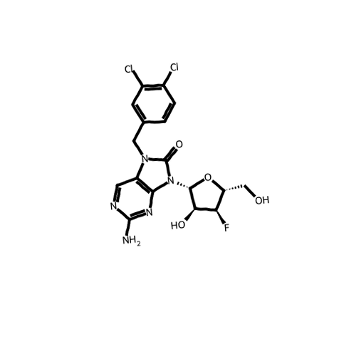 Nc1ncc2c(n1)n([C@@H]1O[C@H](CO)[C@@H](F)[C@H]1O)c(=O)n2Cc1ccc(Cl)c(Cl)c1